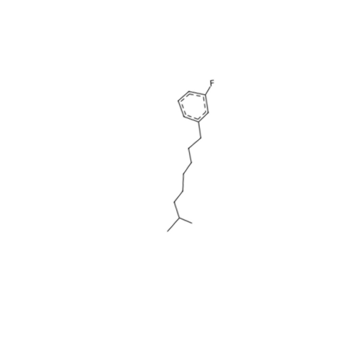 CC(C)CCCCCCc1cccc(F)c1